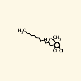 CCCCCCCCCCCCc1c([C](C)C)ccc(Cl)c1Cl